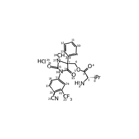 CC(C)[C@H](N)C(=O)OCC1(c2ccccc2)C(=O)N(c2ccc(C#N)c(C(F)(F)F)c2)C(=O)N1C.Cl